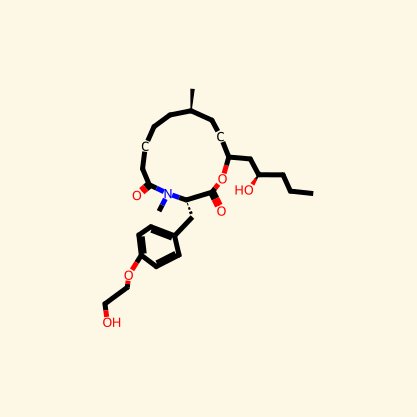 CCC[C@@H](O)CC1CC[C@H](C)CCCCC(=O)N(C)[C@@H](Cc2ccc(OCCO)cc2)C(=O)O1